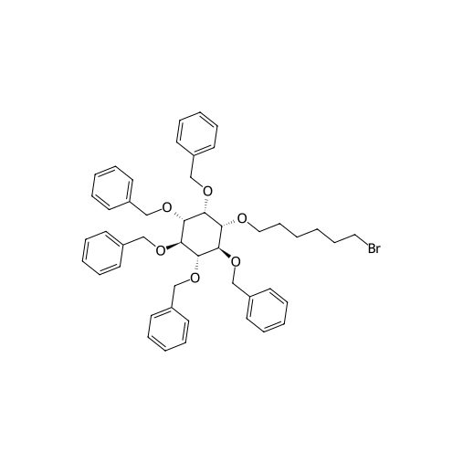 BrCCCCCCO[C@@H]1[C@@H](OCc2ccccc2)[C@H](OCc2ccccc2)[C@@H](OCc2ccccc2)[C@H](OCc2ccccc2)[C@@H]1OCc1ccccc1